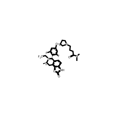 C[C@@H]1Cc2c(ccc3[nH]c(=O)oc23)[C@@H](c2c(F)cc(O[C@@H]3CCN(CCCC(=O)N(C)C)C3)cc2F)N1CC(F)(F)F